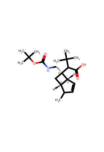 CC1C=C[C@@H]2[C@H]1C[C@@]2(CNC(=O)OC(C)(C)C)C(C(=O)O)C(C)(C)C